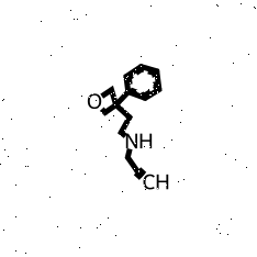 C#CCNCCC1(c2ccccc2)COC1